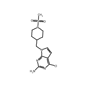 CS(=O)(=O)N1CCC(Cn2ccc3c(Cl)nc(N)nc32)CC1